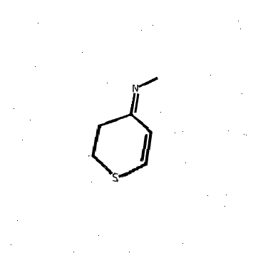 CN=C1C=CS[CH]C1